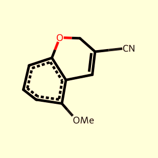 COc1cccc2c1C=C(C#N)CO2